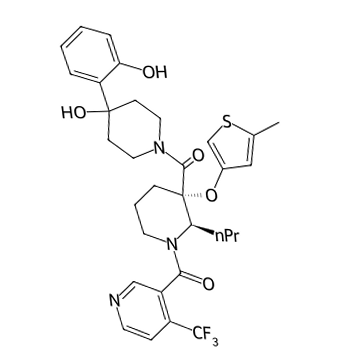 CCC[C@H]1N(C(=O)c2cnccc2C(F)(F)F)CCC[C@@]1(Oc1csc(C)c1)C(=O)N1CCC(O)(c2ccccc2O)CC1